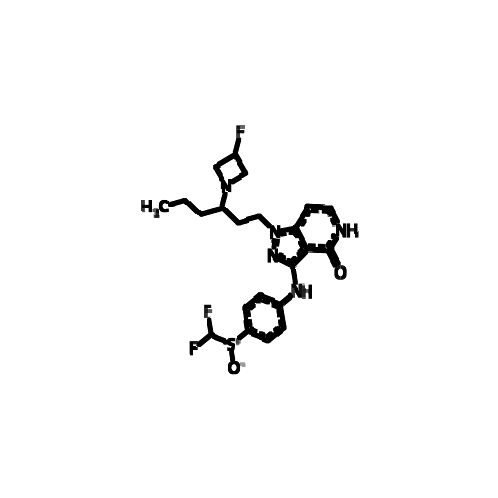 CCCC(CCn1nc(Nc2ccc([S+]([O-])C(F)F)cc2)c2c(=O)[nH]ccc21)N1CC(F)C1